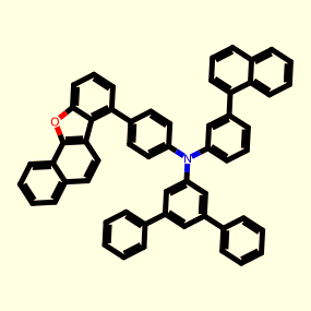 c1ccc(-c2cc(-c3ccccc3)cc(N(c3ccc(-c4cccc5oc6c7ccccc7ccc6c45)cc3)c3cccc(-c4cccc5ccccc45)c3)c2)cc1